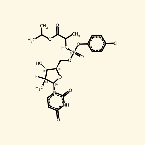 CC(C)OC(=O)C(C)N[P@@](=O)(OC[C@H]1O[C@@H](n2ccc(=O)[nH]c2=O)[C@](C)(F)[C@@H]1O)Oc1ccc(Cl)cc1